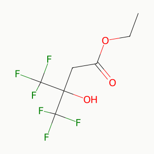 CCOC(=O)CC(O)(C(F)(F)F)C(F)(F)F